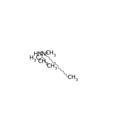 CCCCCCCCCCCCCCCCC(C)[n+]1cc[nH]c1C(CCCCC)C(C)C